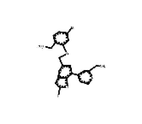 CCOC(=O)Cc1ccc(CC)cc1OCc1cc(-c2ccnc(CN)c2)c2oc(F)cc2c1